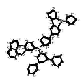 c1ccc(-c2cc(-c3ccccc3)cc(N(c3ccc(-c4ccc5c(c4)c4ccccc4n5-c4ccccc4)cc3)c3ccc4c(c3)Oc3cccc5cccc-4c35)c2)cc1